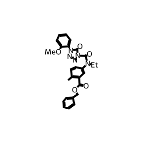 CCN(C(=O)n1nnn(-c2ccccc2OC)c1=O)c1ccc(C)c(C(=O)OCc2ccccc2)c1